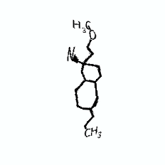 CCCC1CCC2CC(C#N)(CCOC)CCC2C1